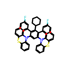 Fc1cccc(-c2c(N3c4ccccc4Sc4ccccc43)cc(N3c4ccccc4Sc4ccccc43)c(-c3cccc(F)c3)c2C2CCCCC2)c1